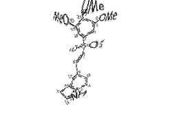 COc1cc(S(=O)(=O)/C=C/c2ccc3[nH]ccc3c2)cc(OC)c1OC